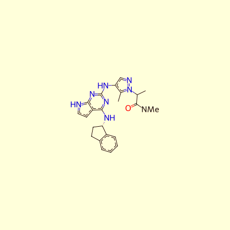 CNC(=O)C(C)n1ncc(Nc2nc(N[C@H]3CCc4ccccc43)c3cc[nH]c3n2)c1C